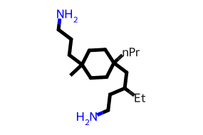 CCCC1(CC(CC)CCN)CCC(C)(CCCN)CC1